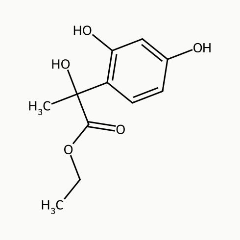 CCOC(=O)C(C)(O)c1ccc(O)cc1O